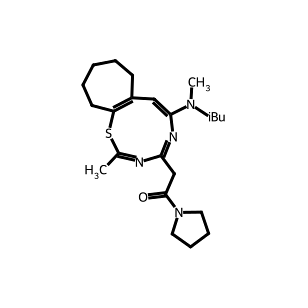 CCC(C)N(C)c1cc2c(sc(C)nc(CC(=O)N3CCCC3)n1)CCCCC2